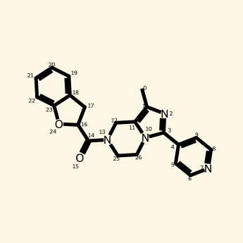 Cc1nc(-c2ccncc2)n2c1CN(C(=O)C1Cc3ccccc3O1)CC2